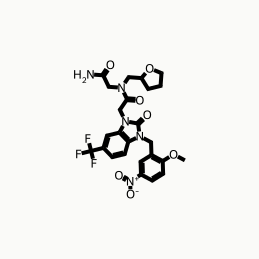 COc1ccc([N+](=O)[O-])cc1Cn1c(=O)n(CC(=O)N(CC(N)=O)CC2CCCO2)c2cc(C(F)(F)F)ccc21